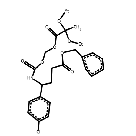 CCOC(C)(OCC)C(=O)OCOC(=O)NC(CCC(=O)OCc1ccccc1)c1ccc(Cl)cc1